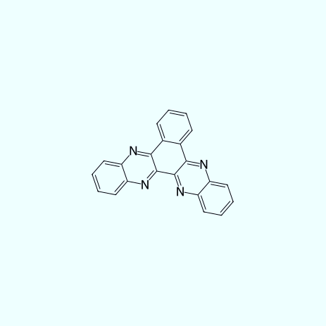 c1ccc2nc3c(nc2c1)c1ccccc1c1nc2ccccc2nc13